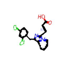 O=C(O)/C=C/c1nc(Cc2ccc(Cl)cc2Cl)c2ccccn12